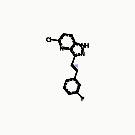 Fc1cccc(/C=C/c2n[nH]c3ccc(Cl)nc23)c1